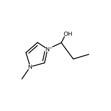 CCC(O)[n+]1ccn(C)c1